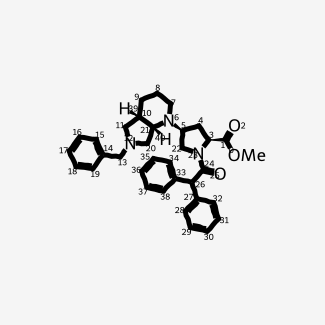 COC(=O)[C@@H]1C[C@H](N2CCC[C@H]3CN(Cc4ccccc4)C[C@H]32)CN1C(=O)C(c1ccccc1)c1ccccc1